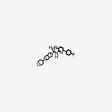 Nc1ccc(-c2ccc(F)cc2)nc1NC(=O)N1CC2CN(C3CCOCC3)CC2C1